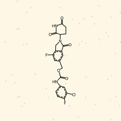 O=C1CCC(N2Cc3c(F)cc(COC(=O)Nc4ccc(F)c(Cl)c4)cc3C2=O)C(=O)N1